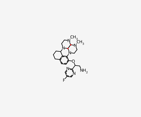 CN1CCN(c2c(OC(CN)c3ncc(F)cn3)ccc3c2C(N2CCN(C)CC2)CCC3)CC1